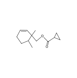 CC1CCC=CC1(C)COC(=O)C1CC1